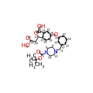 CC(C)(C)OC(=O)N1CCN(Cc2cccc(Oc3ccc4c(c3)B(O)OC4CC(=O)O)c2)CC1